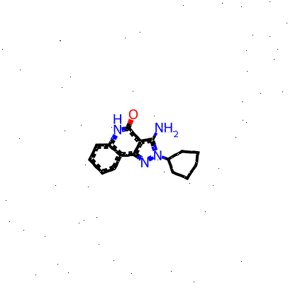 Nc1c2c(=O)[nH]c3ccccc3c2nn1C1CCCCC1